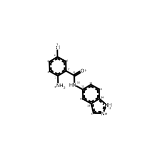 Nc1ccc(Cl)cc1C(=O)Nc1ccc2[nH]ncc2c1